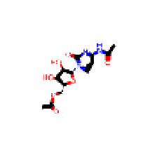 CC(=O)Nc1ccn([C@@H]2O[C@H](COC(C)=O)[C@@H](O)[C@H]2O)c(=O)n1